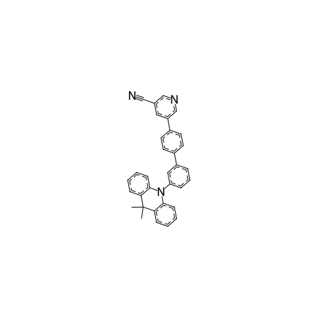 CC1(C)c2ccccc2N(c2cccc(-c3ccc(-c4cncc(C#N)c4)cc3)c2)c2ccccc21